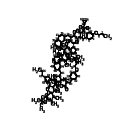 C=CCOc1ccc(CC(NC(=O)C(Cc2ccc3ccccc3c2)NC(=O)[C@@H]2C[C@H](CC=CCOc3ccc(CC(NC(=O)C(Cc4ccc5ccccc5c4)NC(=O)[C@@H]4C[C@H](CC=C)CN4C(=O)C(NC(=O)C(C)N(C)C(=O)OC(C)(C)C)C(C)(C)C)C(=O)O)cc3)CN2C(=O)C(NC(=O)C(C)N(C)C(=O)OC(C)(C)C)C(C)(C)C)C(=O)NS(=O)(=O)C2CC2)cc1